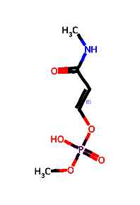 CNC(=O)/C=C/OP(=O)(O)OC